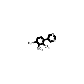 Nc1ccc(-c2cncnc2)c(C(F)(F)F)c1[N+](=O)[O-]